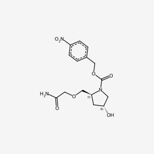 NC(=O)COC[C@@H]1C[C@@H](O)CN1C(=O)OCc1ccc([N+](=O)[O-])cc1